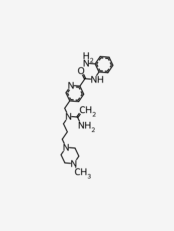 C=C(N)N(CCCN1CCN(C)CC1)Cc1ccc(C(=O)Nc2ccccc2N)nc1